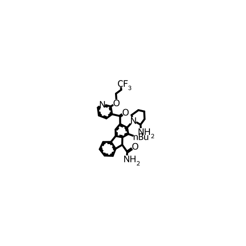 CCCCc1c2c(cc(C(=O)c3cccnc3OCCC(F)(F)F)c1N1CCCCC1N)-c1ccccc1C2C(N)=O